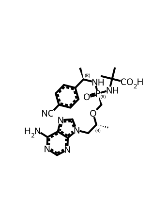 C[C@H](Cn1cnc2c(N)ncnc21)OC[P@@](=O)(N[C@H](C)c1ccc(C#N)cc1)NC(C)(C)C(=O)O